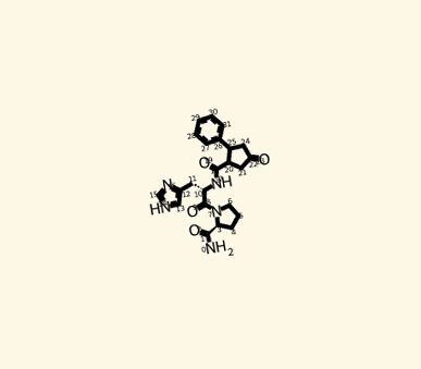 NC(=O)[C@@H]1CCCN1C(=O)[C@H](Cc1c[nH]cn1)NC(=O)C1CC(=O)CC1c1ccccc1